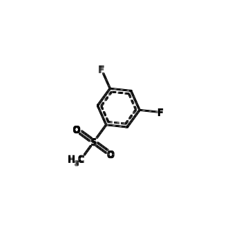 CS(=O)(=O)c1cc(F)cc(F)c1